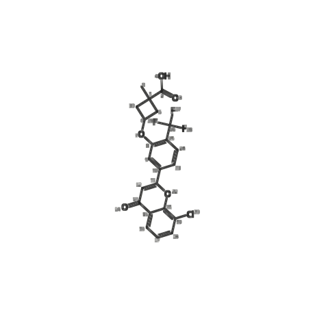 CC1(C(=O)O)CC(Oc2cc(-c3cc(=O)c4cccc(Cl)c4o3)ccc2C(F)(F)F)C1